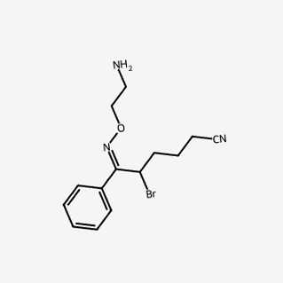 N#CCCCC(Br)C(=NOCCN)c1ccccc1